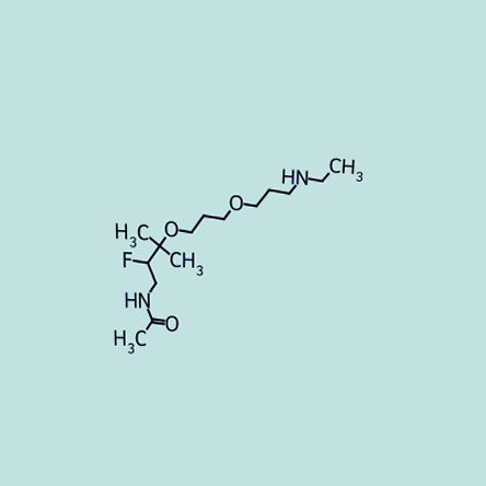 CCNCCCOCCCOC(C)(C)C(F)CNC(C)=O